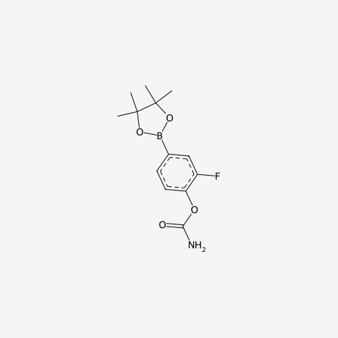 CC1(C)OB(c2ccc(OC(N)=O)c(F)c2)OC1(C)C